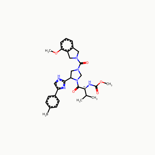 Bc1ccc(-c2c[nH]c(C3CN(C(=O)N4Cc5cccc(OC)c5C4)CN3C(=O)[C@@H](NC(=O)OC)C(C)C)n2)cc1